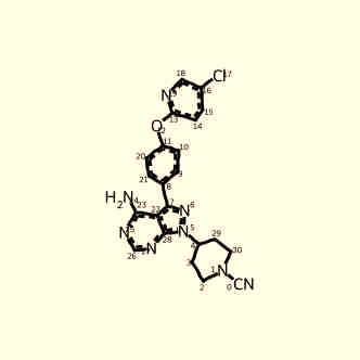 N#CN1CCC(n2nc(-c3ccc(Oc4ccc(Cl)cn4)cc3)c3c(N)ncnc32)CC1